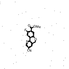 COC(=O)c1cc2c(cc1F)-c1ncc(C#N)cc1CO2